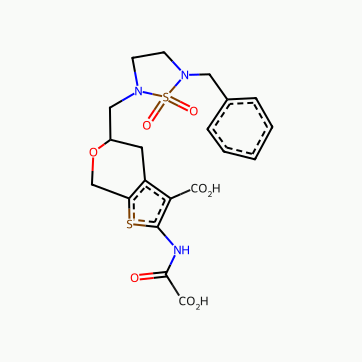 O=C(O)C(=O)Nc1sc2c(c1C(=O)O)CC(CN1CCN(Cc3ccccc3)S1(=O)=O)OC2